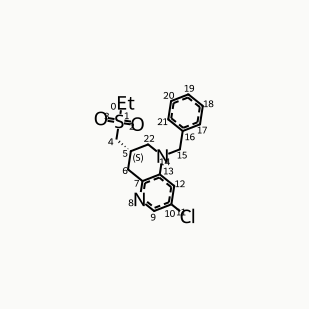 CCS(=O)(=O)C[C@H]1Cc2ncc(Cl)cc2N(Cc2ccccc2)C1